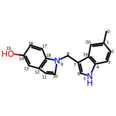 Cc1ccc2[nH]cc(Cn3ccc4cc(O)ccc43)c2c1